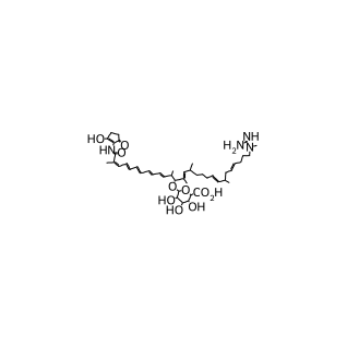 CC(=CC=CC=CC=CC=CC(C)C(OC1OC(C(=O)O)C(O)C(O)C1O)C(C)=CC(C)CCCC=CC(C)CC=CCCCN(C)C(=N)N)C(=O)NC1=C(O)CCC1=O